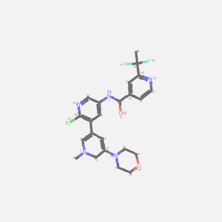 CN1C=C(c2cc(NC(O)c3ccnc(C(C)(F)F)c3)cnc2Cl)C=C(N2CCOCC2)C1